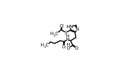 CCCCC(=O)NC(Cc1nc[nH]c1SC(C)=O)C(=O)O